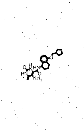 C=C1NC(=O)NC(C(=O)N[C@@H]2CCCc3c(OCC4CCCC4)cccc32)=C1N